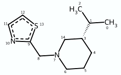 CC(C)[C@@H]1CCCN(Cc2nccs2)C1